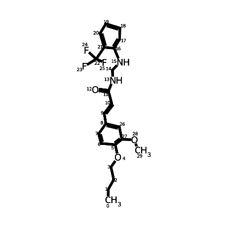 CCCCOc1ccc(C=CC(=O)NCNc2ccccc2C(F)(F)F)cc1OC